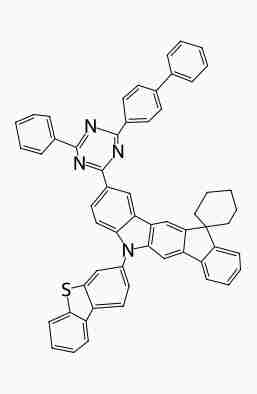 c1ccc(-c2ccc(-c3nc(-c4ccccc4)nc(-c4ccc5c(c4)c4cc6c(cc4n5-c4ccc5c(c4)sc4ccccc45)-c4ccccc4C64CCCCC4)n3)cc2)cc1